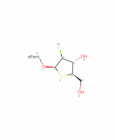 CCCCCO[C@@H]1S[C@H](CO)[C@@H](O)[C@@H]1F